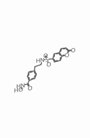 O=C(NO)c1ccc(CCNS(=O)(=O)c2ccc3oc(=O)ccc3c2)cc1